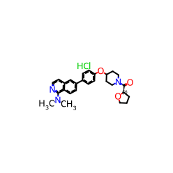 CN(C)c1nccc2cc(-c3ccc(OC4CCN(C(=O)[C@H]5CCCO5)CC4)cc3)ccc12.Cl